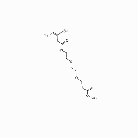 CCC/C=C(/CCCC)CC(=O)NCCOCCOCCC(=O)OC(C)(C)C